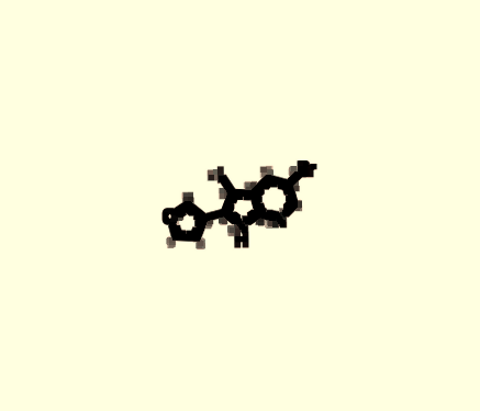 Brc1cnc2[nH]c(-c3ccoc3)c(I)c2c1